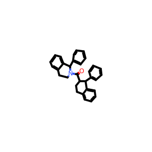 O=C(C1CCc2ccccc2C1c1ccccc1)N1CCc2ccccc2C1c1ccccc1